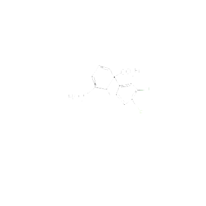 CC1C(C(=O)O)=CC=CC1(C(=O)O)c1ccc(F)c(Cl)c1